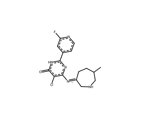 CC1CC/C(=N\c2nc(-c3ccnc(F)c3)[nH]c(=O)c2Cl)CNC1